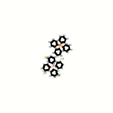 Fc1cccc([B-](c2cccc(F)c2)(c2cccc(F)c2)c2cccc(F)c2)c1.c1ccc([P+](c2ccccc2)(c2ccccc2)c2ccccc2)cc1